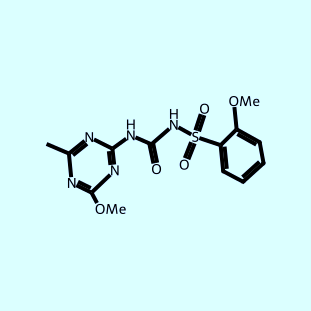 COc1nc(C)nc(NC(=O)NS(=O)(=O)c2ccccc2OC)n1